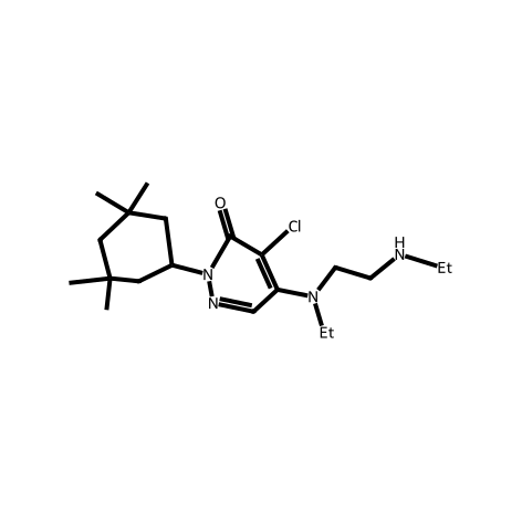 CCNCCN(CC)c1cnn(C2CC(C)(C)CC(C)(C)C2)c(=O)c1Cl